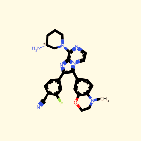 CN1CCOc2cc(-c3c(-c4ccc(C#N)c(F)c4)nc4c(N5CCC[C@@H](N)C5)nccn34)ccc21